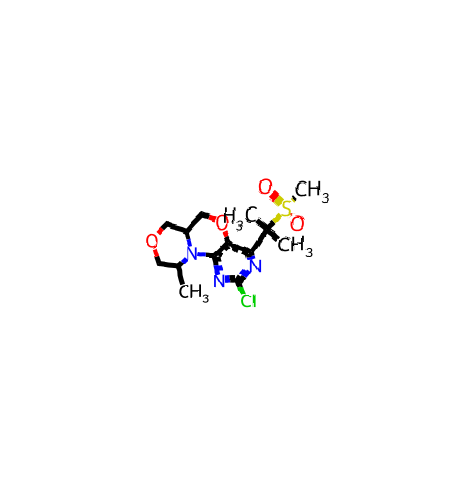 CC1COCC2COc3c(nc(Cl)nc3C(C)(C)S(C)(=O)=O)N12